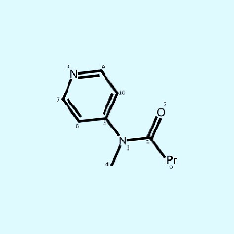 CC(C)C(=O)N(C)c1ccncc1